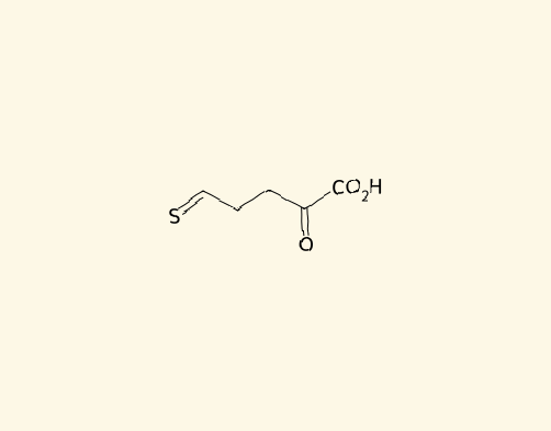 O=C(O)C(=O)CCC=S